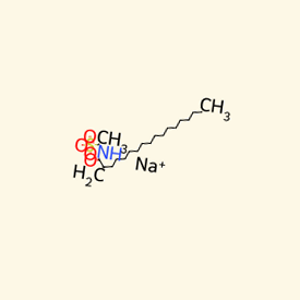 C=C(CCCCCCCCCCCCCCCC)C(=O)NC(C)S(=O)(=O)[O-].[Na+]